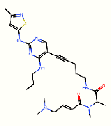 CCCNc1nc(Nc2cc(C)ns2)ncc1C#CCCCNC(=O)C(C)N(C)C(=O)C=CCN(C)C